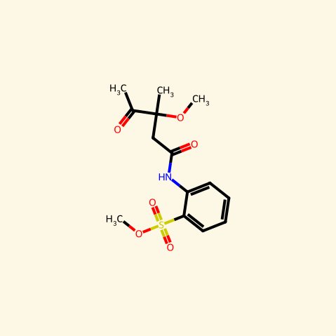 COC(C)(CC(=O)Nc1ccccc1S(=O)(=O)OC)C(C)=O